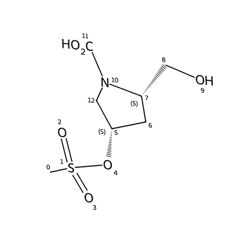 CS(=O)(=O)O[C@H]1C[C@@H](CO)N(C(=O)O)C1